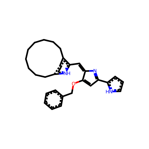 C(=C1N=C(c2ccc[nH]2)C=C1OCc1ccccc1)c1[nH]c2cc1CCCCCCCCC2